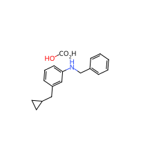 O=C(O)O.c1ccc(CNc2cccc(CC3CC3)c2)cc1